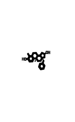 Cc1c(O)ccc2c1CCC1=C3C[C@@H](O)C[C@@]3(Cc3ccccc3)CC[C@]12C